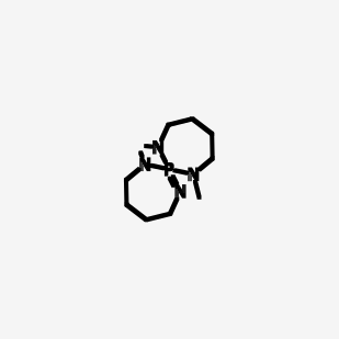 CN1CCCCN=P12N(C)CCCCN2C